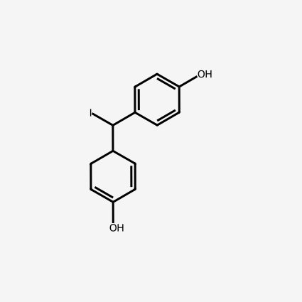 OC1=CCC(C(I)c2ccc(O)cc2)C=C1